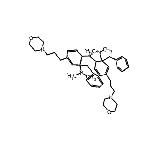 CN(C)C1(Cc2ccccc2)C=C(CCCN2CCOCC2)C=CC1C(=O)C1C=CC(CCCN2CCOCC2)=CC1(Cc1ccccc1)N(C)C